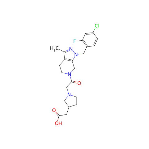 Cc1nn(Cc2ccc(Cl)cc2F)c2c1CCN(C(=O)CN1CCC(CC(=O)O)C1)C2